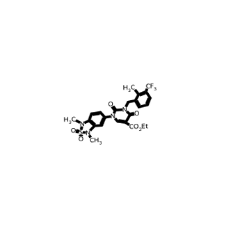 CCOC(=O)c1cn(-c2ccc3c(c2)N(C)S(=O)(=O)N3C)c(=O)n(Cc2cccc(C(F)(F)F)c2C)c1=O